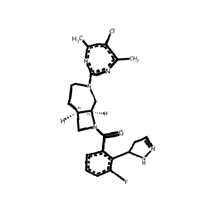 Cc1nc(N2CC[C@@H]3CN(C(=O)c4cccc(F)c4C4CC=NN4)[C@@H]3C2)nc(C)c1Cl